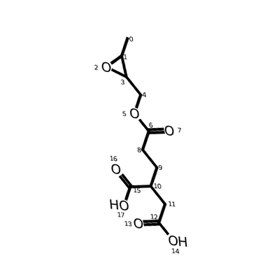 CC1OC1COC(=O)CCC(CC(=O)O)C(=O)O